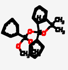 CO[Si](OC)(O[Si](O[Si](C)(C)C)(c1ccccc1)c1ccccc1)c1ccccc1